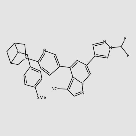 CSc1ccc(CN2C3CC2CN(c2ccc(-c4cc(-c5cnn(C(F)F)c5)cn5ncc(C#N)c45)cn2)C3)cc1